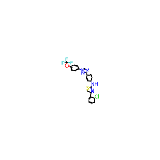 FC(F)(F)Oc1ccc(-n2cnc(-c3ccc(NC4=NC(c5ccccc5Cl)CS4)cc3)n2)cc1